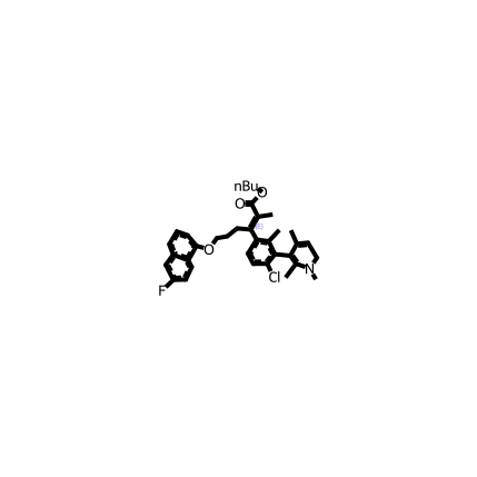 CCCCOC(=O)/C(C)=C(\CCCOc1cccc2cc(F)ccc12)c1ccc(Cl)c(C2=C(C)N(C)CC=C2C)c1C